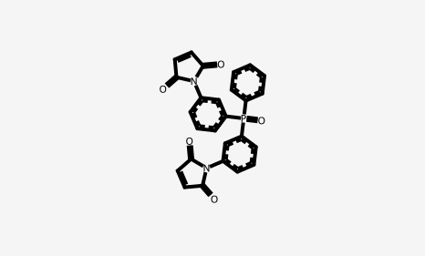 O=C1C=CC(=O)N1c1cccc(P(=O)(c2ccccc2)c2cccc(N3C(=O)C=CC3=O)c2)c1